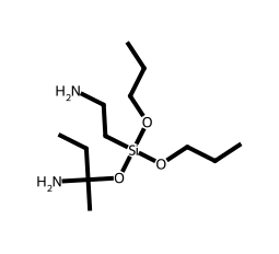 CCCO[Si](CCN)(OCCC)OC(C)(N)CC